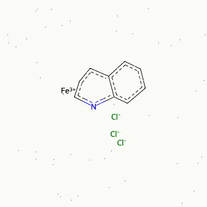 [Cl-].[Cl-].[Cl-].[Fe+3].c1ccc2ncccc2c1